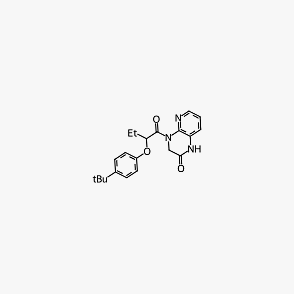 CCC(Oc1ccc(C(C)(C)C)cc1)C(=O)N1CC(=O)Nc2cccnc21